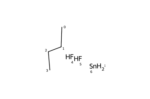 CCCC.F.F.[SnH2]